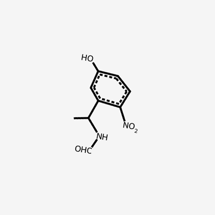 CC(NC=O)c1cc(O)ccc1[N+](=O)[O-]